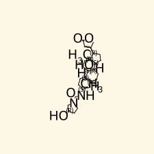 C[C@]12CC[C@H](NC(=O)N3CC[C@@H](O)C3)C[C@H]1CC[C@@H]1[C@@H]2CC[C@]2(C)[C@@H](C3=CC(=O)OC3)CC[C@]12O